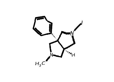 CN1C[C@@H]2CN(I)C[C@]2(c2ccccc2)C1